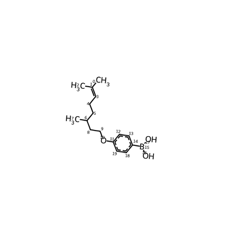 CC(C)=CCCC(C)CCOc1ccc(B(O)O)cc1